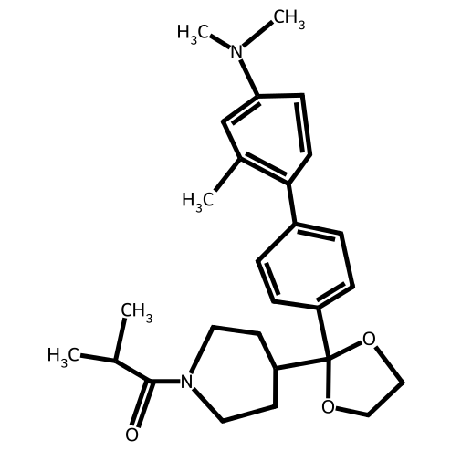 Cc1cc(N(C)C)ccc1-c1ccc(C2(C3CCN(C(=O)C(C)C)CC3)OCCO2)cc1